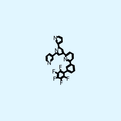 Fc1c(F)c(F)c(-c2cccc(-c3cccc(-c4cc(-c5cccnc5)nc(-c5cccnc5)c4)n3)c2)c(F)c1F